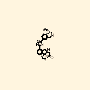 C/N=C\c1cc(-c2nc(-c3cccc4c3C[C@H]3CC(=O)N5[C@H](C)CO[C@@]435)no2)ccc1OC(C)C